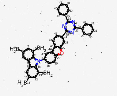 Bc1cc(B)c2c(c1)c1cc(B)cc(B)c1n2-c1ccc2oc3cc(-c4nc(-c5ccccc5)nc(-c5ccccc5)n4)ccc3c2c1